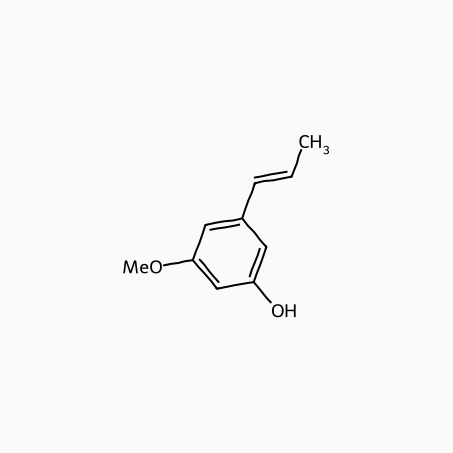 CC=Cc1cc(O)cc(OC)c1